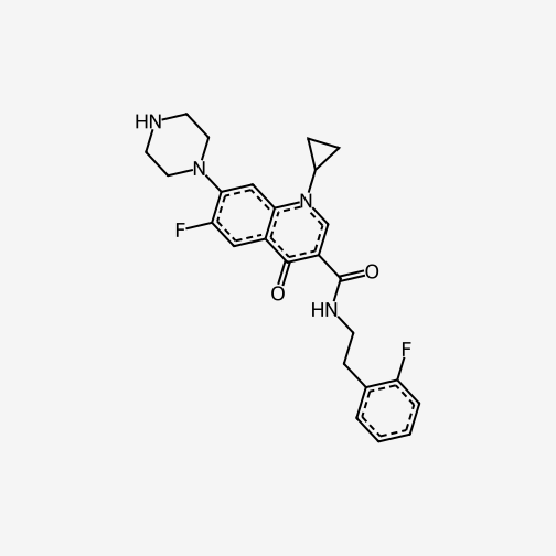 O=C(NCCc1ccccc1F)c1cn(C2CC2)c2cc(N3CCNCC3)c(F)cc2c1=O